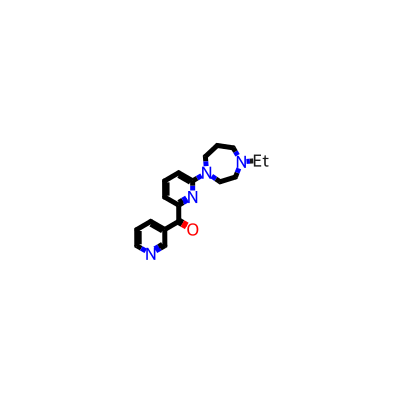 CCN1CCCN(c2cccc(C(=O)c3cccnc3)n2)CC1